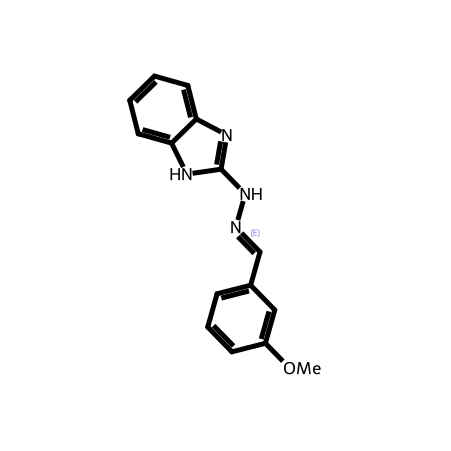 COc1cccc(/C=N/Nc2nc3ccccc3[nH]2)c1